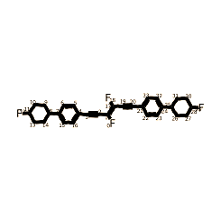 F/C(C#Cc1ccc(C2CCC(F)CC2)cc1)=C(/F)C#Cc1ccc(C2CCC(F)CC2)cc1